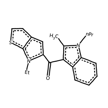 CCCn1c(C)c(C(=O)c2cc3ccsc3n2CC)c2ccccc21